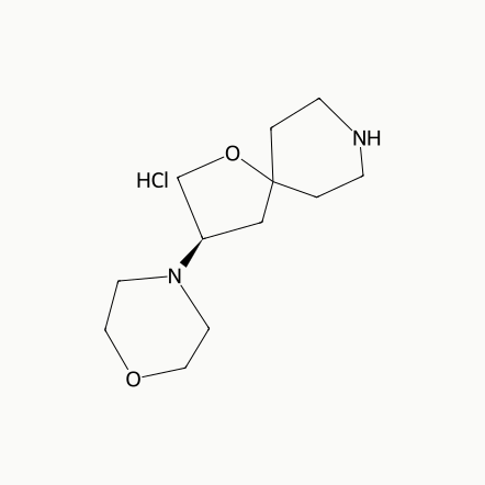 C1CC2(CCN1)C[C@@H](N1CCOCC1)CO2.Cl